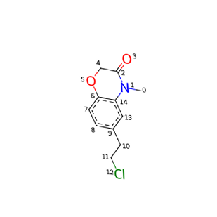 CN1C(=O)COc2ccc(CCCl)cc21